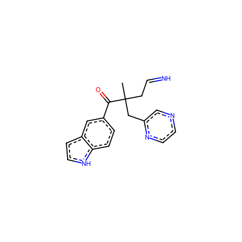 CC(CC=N)(Cc1cnccn1)C(=O)c1ccc2[nH]ccc2c1